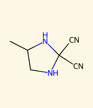 CC1CNC(C#N)(C#N)N1